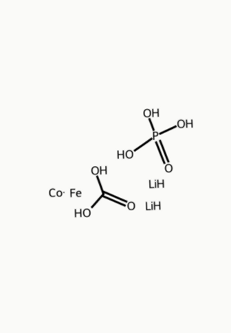 O=C(O)O.O=P(O)(O)O.[Co].[Fe].[LiH].[LiH]